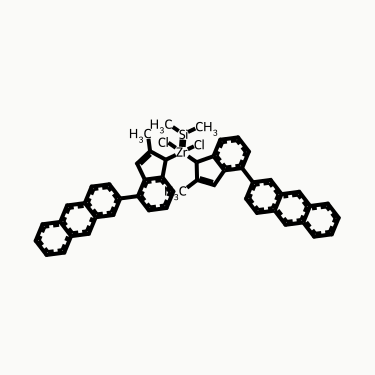 CC1=Cc2c(-c3ccc4cc5ccccc5cc4c3)cccc2[CH]1[Zr]([Cl])([Cl])([CH]1C(C)=Cc2c(-c3ccc4cc5ccccc5cc4c3)cccc21)=[Si](C)C